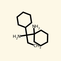 CCC(N)(C1CCCCC1)C1(N)CCCCC1